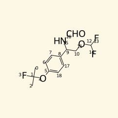 CC(C)(F)Oc1ccc(C(COC(F)F)NC=O)cc1